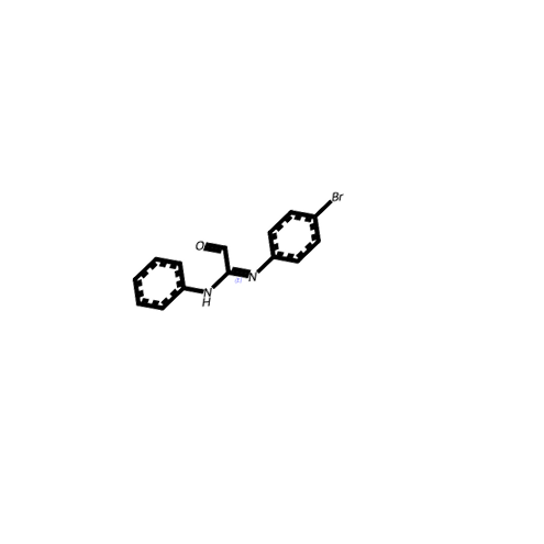 O=C/C(=N\c1ccc(Br)cc1)Nc1ccccc1